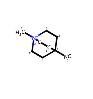 [C-]#[N+]C12CC[N+](C)(CC1)CC2